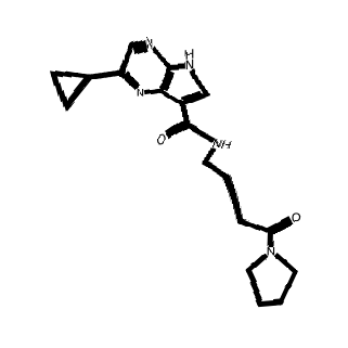 O=C(NCCCC(=O)N1CCCC1)c1c[nH]c2ncc(C3CC3)nc12